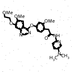 COCCOc1cc2ncnc(Oc3ccc(CC(=O)Nc4ccc(N(C)C)cn4)c(OC)c3)c2cc1OC